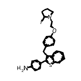 Nc1ccc(-c2sc3ccccc3c2Cc2ccc(OCCN3CCCC3I)cc2)cc1